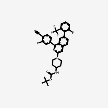 CC(C)(C)OC(=O)NC1CCN(c2cc3ccc(-c4c(F)cccc4C(F)(F)F)cc3c(-c3ccc(C#N)c(F)c3)n2)CC1